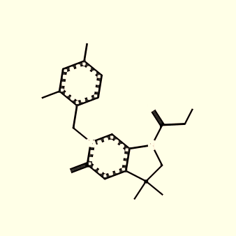 CC1(C)CN(C(=O)CCl)c2cn(Cc3ccc(F)cc3F)c(=O)cc21